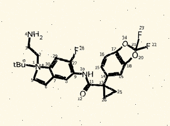 CC(C)(C)[N+]1(CCN)C=Cc2cc(NC(=O)C3(c4ccc5c(c4)OC(F)(F)O5)CC3)c(F)cc21